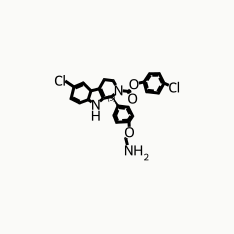 NCOc1ccc([C@H]2C3=C(CCN2C(=O)Oc2ccc(Cl)cc2)C2C=C(Cl)C=CC2N3)cc1